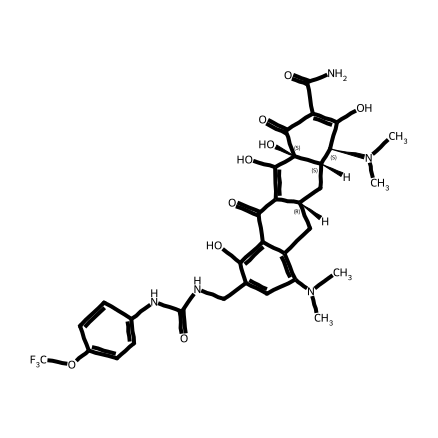 CN(C)c1cc(CNC(=O)Nc2ccc(OC(F)(F)F)cc2)c(O)c2c1C[C@H]1C[C@H]3[C@H](N(C)C)C(O)=C(C(N)=O)C(=O)[C@@]3(O)C(O)=C1C2=O